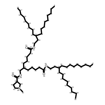 CCCCCCCCCC(CCCCCCCCC)CCOC(=O)CCCCC(CCCCC(=O)OCCC(CCCCCCCCC)CCCCCCCCC)COC(=O)C1CCN(C)C1